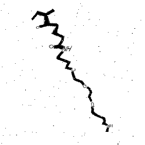 CCC(C)C(=O)CCCC(=O)NCCCOCCOCCOCCCNC